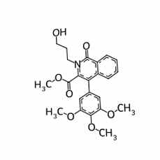 COC(=O)c1c(-c2cc(OC)c(OC)c(OC)c2)c2ccccc2c(=O)n1CCCO